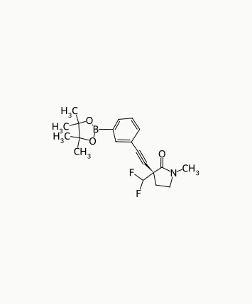 CN1CC[C@](C#Cc2cccc(B3OC(C)(C)C(C)(C)O3)c2)(C(F)F)C1=O